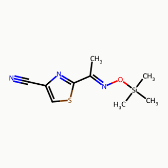 C/C(=N\O[Si](C)(C)C)c1nc(C#N)cs1